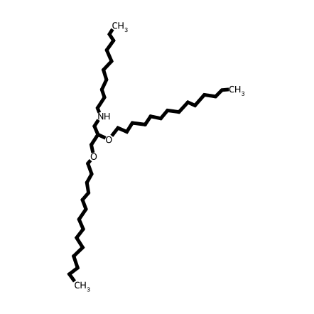 CCCCCCCCCCCCCCOCC(CNCCCCCCCCCC)OCCCCCCCCCCCCCC